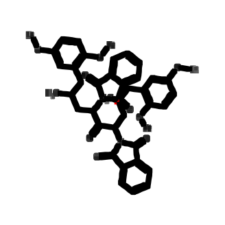 CCOc1ccc(OCC)c(CC(C)CC(C(=O)C(CC(C)Cc2cc(OCC)ccc2OCC)N2C(=O)c3ccccc3C2=O)N2C(=O)c3ccccc3C2=O)c1